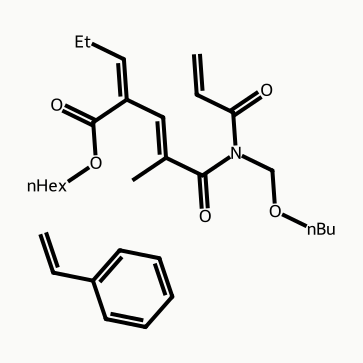 C=CC(=O)N(COCCCC)C(=O)C(C)=CC(=CCC)C(=O)OCCCCCC.C=Cc1ccccc1